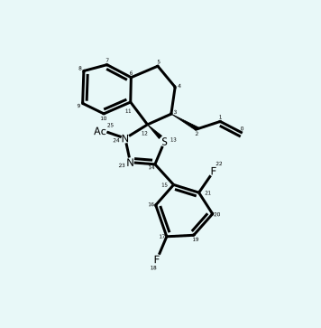 C=CC[C@@H]1CCc2ccccc2[C@]12SC(c1cc(F)ccc1F)=NN2C(C)=O